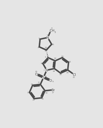 CN1CC[C@@H](c2cn(S(=O)(=O)c3ccccc3Br)c3cc(Cl)ccc23)C1